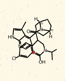 Cc1c[nH]c2nccc(N3C[C@H]4CC[C@@H](C3)N4C(=O)C(CN(C(=O)O)C(C)C)c3ccc(Cl)cc3)c12